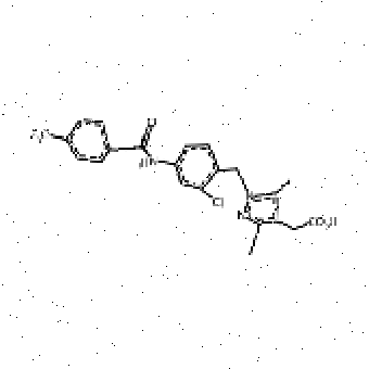 Cc1nn(Cc2ccc(NC(=O)c3ccc(C(F)(F)F)cc3)cc2Cl)c(C)c1CC(=O)O